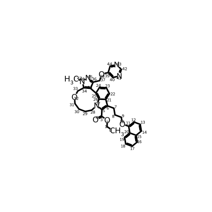 CCOC(=O)c1c(CCCOc2cccc3ccccc23)c2cccc3c2n1CCCCOCc1c-3c(COc2cncnc2)nn1C